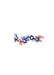 N#CCC1(COC(=O)c2ccc3nc(CC4CC=C(c5ncc(F)c(O)n5)CC4)[nH]c3n2)CC1